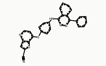 N#Cc1cc2nccc(Sc3ccc(Nc4nnc(-c5ccccc5)c5ccccc45)cc3)c2s1